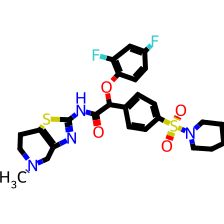 CN1CCc2sc(NC(=O)C(Oc3ccc(F)cc3F)c3ccc(S(=O)(=O)N4CCCCC4)cc3)nc2C1